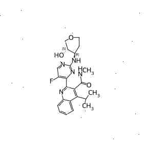 CNC(=O)c1c(-c2nc(N[C@@H]3CCOC[C@H]3O)ncc2F)nc2ccccc2c1C(C)C